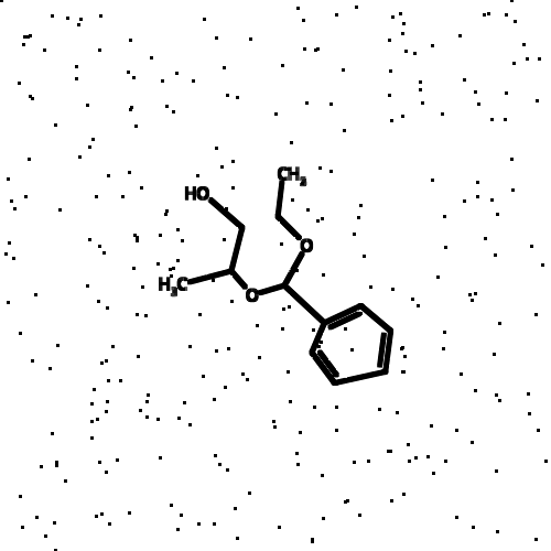 CCOC(OC(C)CO)c1ccccc1